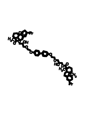 CC(C)C1=CC2=CCC3C(C)(C(=O)OCC(O)COCCOc4ccc(-c5ccc(OCCOCC(O)COC(=O)C6(C)CCCC7(C)C8CCC(C(C)C)=CC8=CCC67)cc5)cc4)CCCC3(C)C2CC1